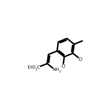 CCOC(=O)/C(N)=C/c1ccc(C)c(Cl)c1Cl